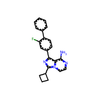 Nc1nccn2c(C3CCC3)nc(-c3ccc(-c4ccccc4)c(F)c3)c12